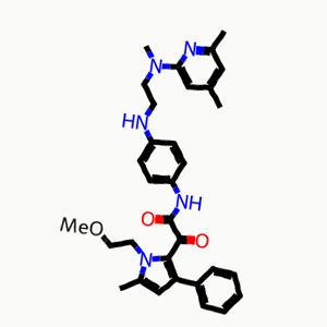 COCCn1c(C)cc(-c2ccccc2)c1C(=O)C(=O)Nc1ccc(NCCN(C)c2cc(C)cc(C)n2)cc1